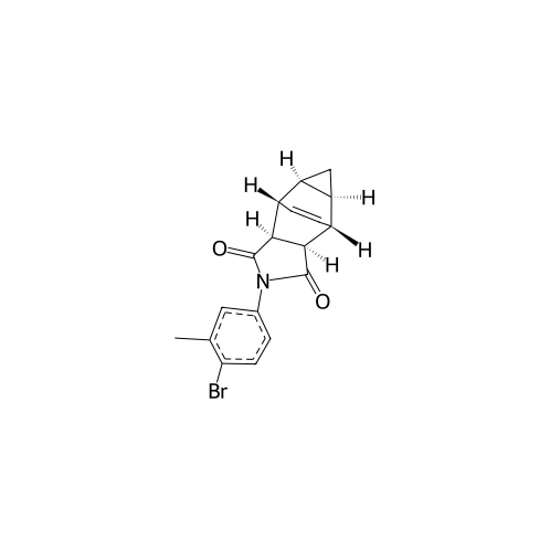 Cc1cc(N2C(=O)[C@@H]3[C@@H]4C=C[C@@H]([C@H]5C[C@@H]45)[C@@H]3C2=O)ccc1Br